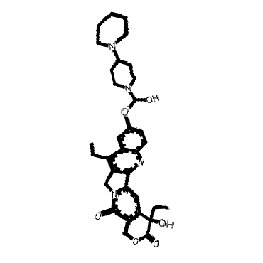 CCc1c2c(nc3ccc(OC(O)N4CCC(N5CCCCC5)CC4)cc13)-c1cc3c(c(=O)n1C2)COC(=O)C3(O)CC